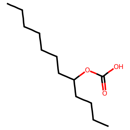 CCCCCCCC(CCCC)OC(=O)O